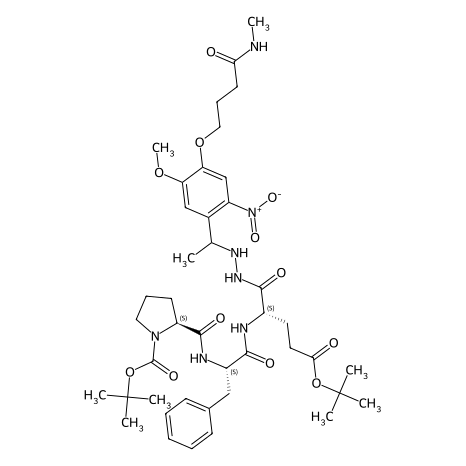 CNC(=O)CCCOc1cc([N+](=O)[O-])c(C(C)NNC(=O)[C@H](CCC(=O)OC(C)(C)C)NC(=O)[C@H](Cc2ccccc2)NC(=O)[C@@H]2CCCN2C(=O)OC(C)(C)C)cc1OC